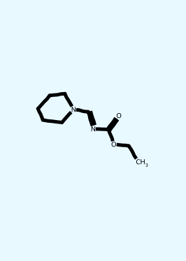 CCOC(=O)/N=C/N1CCCCC1